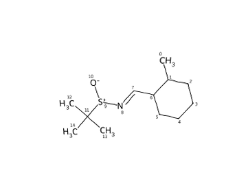 CC1CCCCC1/C=N/[S+]([O-])C(C)(C)C